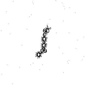 CC(C)(C)OC(=O)COC1CCN(C2CCN(C(=O)OCc3ccccc3)CC2)CC1